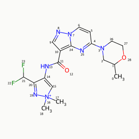 CC1CN(c2ccn3ncc(C(=O)NC4=C[N+](C)(C)N=C4C(F)F)c3n2)CCO1